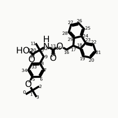 CC(C)(C)Oc1ccc(CC(C)(NC(=O)OCC2c3ccccc3-c3ccccc32)C(=O)O)cc1